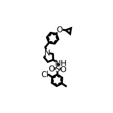 Cc1ccc(Cl)c(S(=O)(=O)NC2CCN(Cc3ccc(OC4CC4)cc3)C2)c1